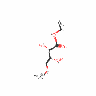 CCOC(=O)[C@@H](O)[C@H](O)COC